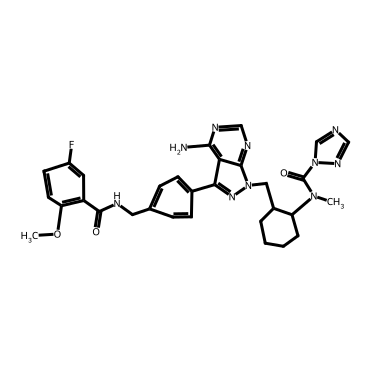 COc1ccc(F)cc1C(=O)NCc1ccc(-c2nn(CC3CCCCC3N(C)C(=O)n3cncn3)c3ncnc(N)c23)cc1